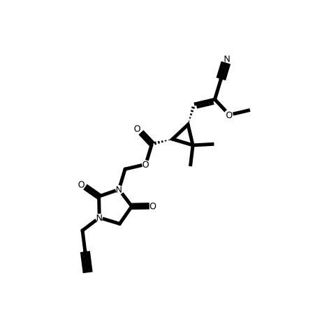 C#CCN1CC(=O)N(COC(=O)[C@@H]2[C@H](/C=C(/C#N)OC)C2(C)C)C1=O